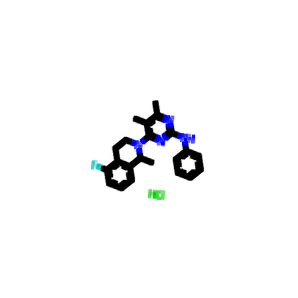 Cc1nc(Nc2ccccc2)nc(N2CCc3c(F)cccc3C2C)c1C.Cl